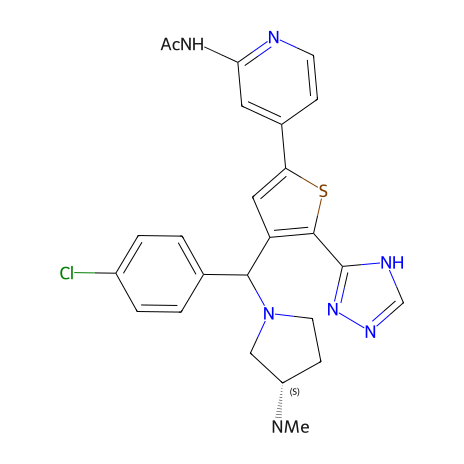 CN[C@H]1CCN(C(c2ccc(Cl)cc2)c2cc(-c3ccnc(NC(C)=O)c3)sc2-c2nnc[nH]2)C1